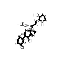 Cl.Cl.O[C@H]1CCCN[C@@H]1/C=C/Cn1cnc2c(Cl)c(-c3cccc(Cl)c3)cnc21